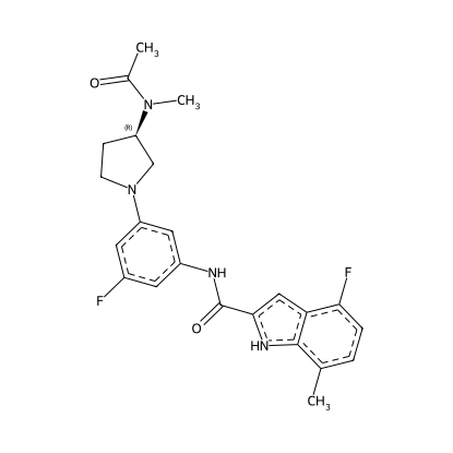 CC(=O)N(C)[C@@H]1CCN(c2cc(F)cc(NC(=O)c3cc4c(F)ccc(C)c4[nH]3)c2)C1